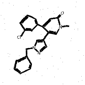 Cn1cc(-c2cnn(Cc3ccccc3)c2)c(-c2cccc(Cl)c2)cc1=O